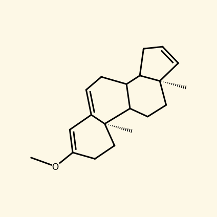 COC1=CC2=CCC3C4CC=C[C@@]4(C)CCC3[C@@]2(C)CC1